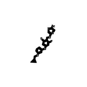 CC(=O)c1cnc(OCc2c(F)cc(Oc3cccc(OCC4CC4)c3)cc2F)cn1